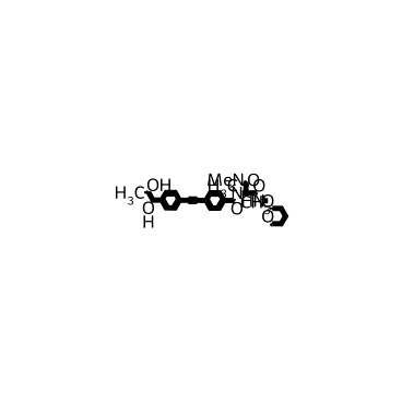 CNC(=O)[C@@](C)(C(=O)NOC1CCCCO1)N(C)C(=O)c1ccc(C#Cc2ccc([C@H](O)[C@@H](C)O)cc2)cc1